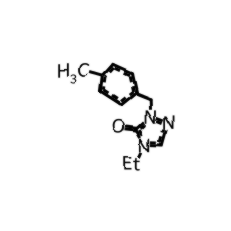 CCn1cnn(Cc2ccc(C)cc2)c1=O